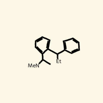 CCC(c1ccccc1)c1ccccc1C(C)NC